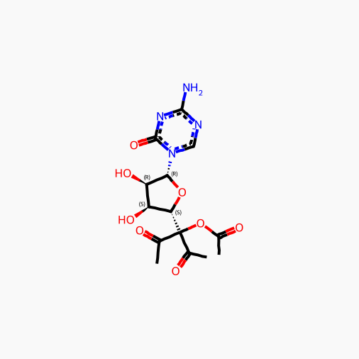 CC(=O)OC(C(C)=O)(C(C)=O)[C@H]1O[C@@H](n2cnc(N)nc2=O)[C@H](O)[C@@H]1O